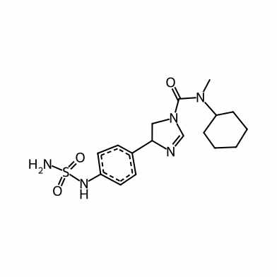 CN(C(=O)N1C=NC(c2ccc(NS(N)(=O)=O)cc2)C1)C1CCCCC1